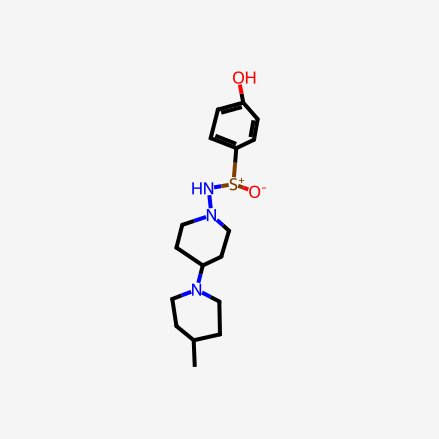 CC1CCN(C2CCN(N[S+]([O-])c3ccc(O)cc3)CC2)CC1